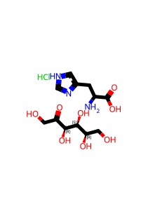 Cl.NC(Cc1c[nH]cn1)C(=O)O.O=C(CO)[C@H](O)[C@@H](O)[C@H](O)CO